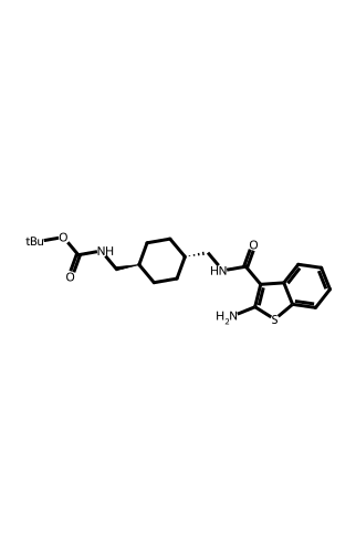 CC(C)(C)OC(=O)NC[C@H]1CC[C@H](CNC(=O)c2c(N)sc3ccccc23)CC1